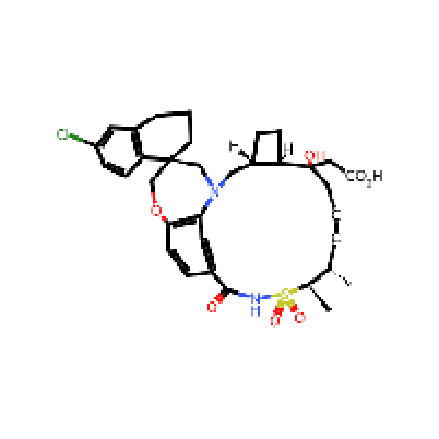 C[C@@H]1[C@@H](C)CCC[C@](O)(CC(=O)O)[C@@H]2CC[C@H]2CN2C[C@@]3(CCCc4cc(Cl)ccc43)COc3ccc(cc32)C(=O)NS1(=O)=O